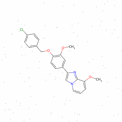 COc1cc(-c2cn3cccc(OC)c3n2)ccc1OCc1ccc(Cl)cc1